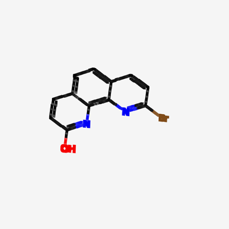 Oc1ccc2ccc3ccc(Br)nc3c2n1